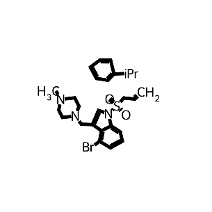 C=CCS(=O)(=O)n1cc(CN2CCN(C)CC2)c2c(Br)cccc21.CC(C)c1ccccc1